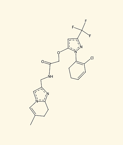 CC1=Cn2cc(CNC(=O)COc3cc(C(F)(F)F)nn3C3=C(Cl)C=CCC3)nc2CC1